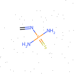 C=NP(N)(N)=S